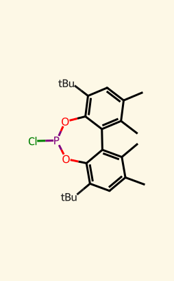 Cc1cc(C(C)(C)C)c2op(Cl)oc3c(C(C)(C)C)cc(C)c(C)c3c2c1C